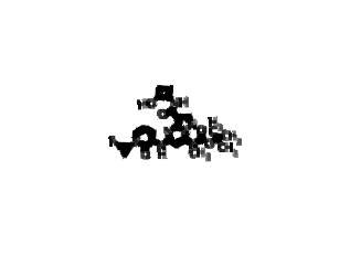 CN(C(=O)OC(C)(C)C)c1cc(Nc2cccn([C@H]3C[C@@H]3F)c2=O)nc2c(C(=O)NC3CC[C@@H]3O)cnn12